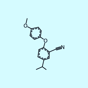 COc1ccc(Oc2ccc(C(C)C)cc2C#N)cc1